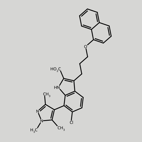 Cc1nn(C)c(C)c1-c1c(Cl)ccc2c(CCCOc3cccc4ccccc34)c(C(=O)O)[nH]c12